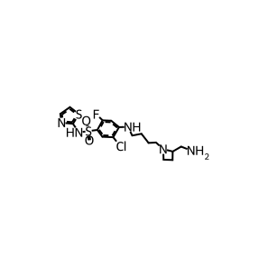 NCC1CCN1CCCCNc1cc(F)c(S(=O)(=O)Nc2nccs2)cc1Cl